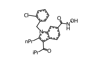 CCCc1c(C(=O)C(C)C)c2ccc(C(=O)NO)cc2n1Cc1ccccc1Cl